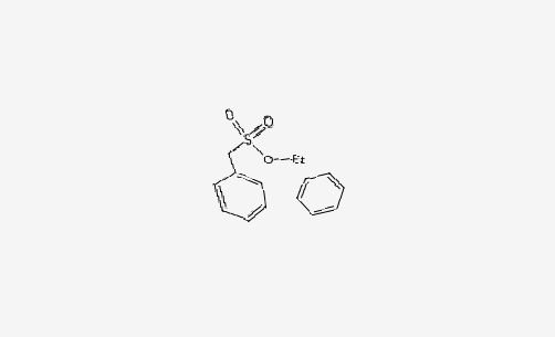 CCOS(=O)(=O)Cc1ccccc1.c1ccccc1